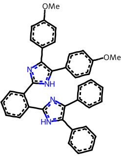 COc1ccc(-c2nc(-c3ccccc3-c3nc(-c4ccccc4)c(-c4ccccc4)[nH]3)[nH]c2-c2ccc(OC)cc2)cc1